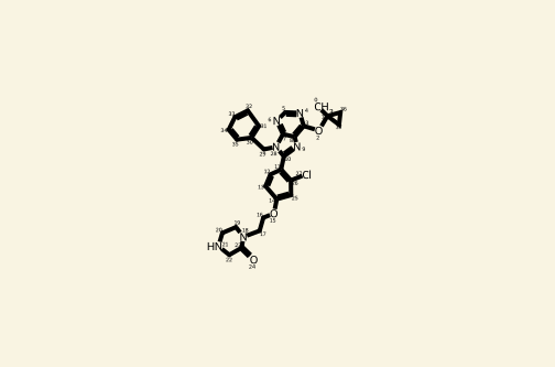 CC1(Oc2ncnc3c2nc(-c2ccc(OCCN4CCNCC4=O)cc2Cl)n3Cc2ccccc2)CC1